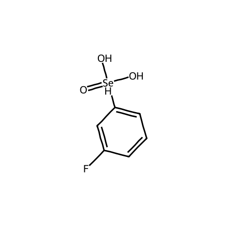 O=[SeH](O)(O)c1cccc(F)c1